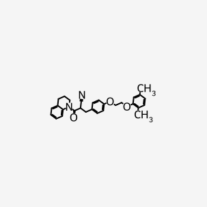 Cc1ccc(C)c(OCCOc2ccc(CC(C#N)C(=O)N3CCCc4ccccc43)cc2)c1